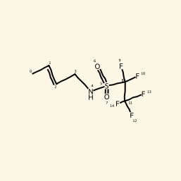 C/C=C/CNS(=O)(=O)C(F)(F)C(F)(F)F